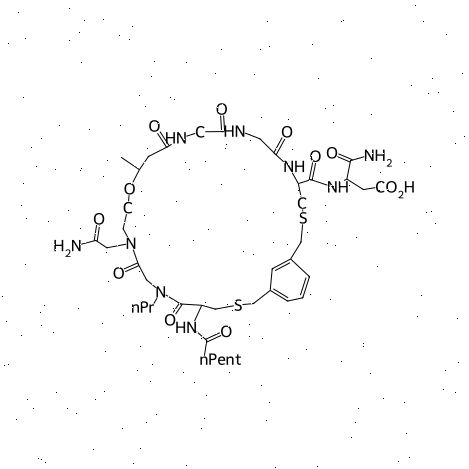 CCCCCC(=O)NC1CSCc2cccc(c2)CSCC(C(=O)NC(CC(=O)O)C(N)=O)NC(=O)CNC(=O)CNC(=O)CC(C)OCCN(CC(N)=O)C(=O)CN(CCC)C1=O